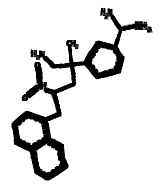 CC([CH]N)(CC(Cc1cccc2ccccc12)[SH](=O)=O)c1cccc(C(N)N)c1